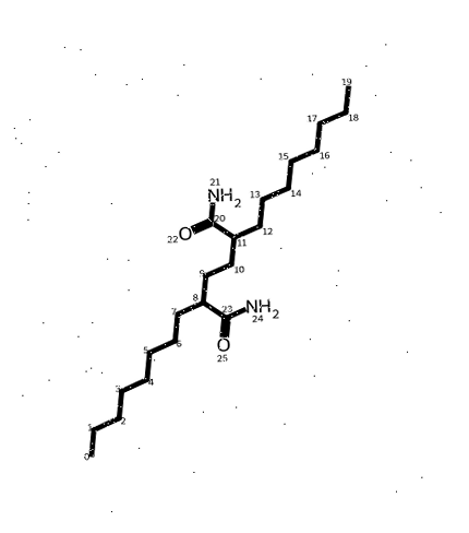 CCCCCCCCC(CCC(CCCCCCCC)C(N)=O)C(N)=O